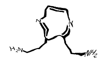 NCc1nccnc1CN